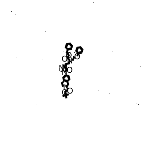 CC(C)(C)OC(=O)N1CCc2cc(-n3cnn(CCN(CCOc4ccccc4)C(=O)OCc4ccccc4)c3=O)ccc2C1